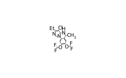 CCc1ncnc(NC(C)c2ccc(OC(F)F)c(OC(F)F)c2)c1Cl